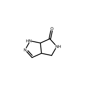 O=C1NCC2C=NNC12